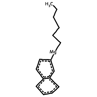 CCCCC[CH2][Mg][c]1ccc2ccccc2c1